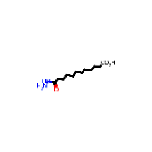 NNC(=O)CCCCCCCCCCC(=O)O